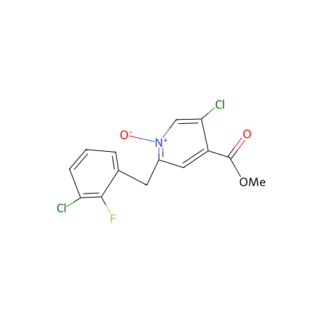 COC(=O)c1cc(Cc2cccc(Cl)c2F)[n+]([O-])cc1Cl